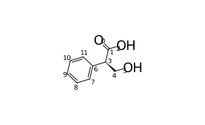 O=C(O)[C@@H](CO)c1ccccc1